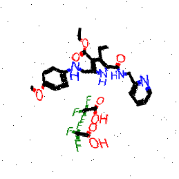 CCOC(=O)c1c(CNc2ccc(OC)cc2)[nH]c(C(=O)NCc2ccccn2)c1CC.O=C(O)C(F)(F)F.O=C(O)C(F)(F)F